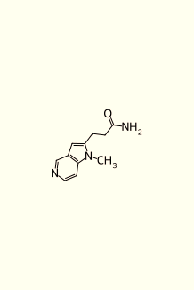 Cn1c(CCC(N)=O)cc2cnccc21